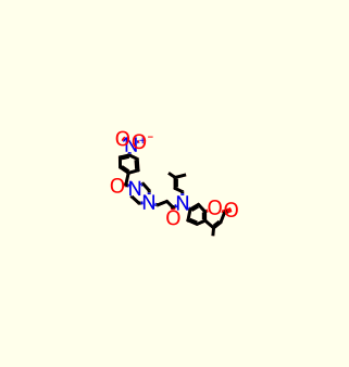 CC(C)=CCN(C(=O)CCN1CCN(C(=O)c2ccc([N+](=O)[O-])cc2)CC1)c1ccc2c(C)cc(=O)oc2c1